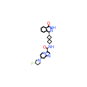 O=C(N[C@H]1CC2(C1)C[C@H](c1n[nH]c(=O)c3ccccc31)C2)c1cnc2cc(N3CC[C@H](F)C3)ccn12